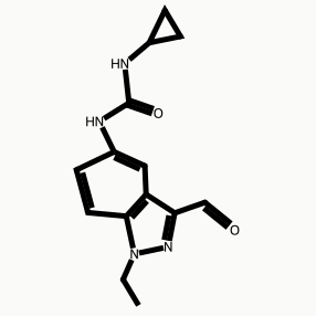 CCn1nc(C=O)c2cc(NC(=O)NC3CC3)ccc21